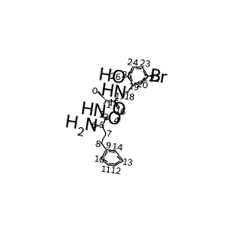 C[C@H](NC(=O)[C@H](N)CCc1ccccc1)C(=O)NCc1cc(Br)ccc1O